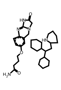 C1CCC(C(CC2CCCCN2)C2CCCCC2)CC1.NC(=O)CCCOc1ccc2c(c1)CN1CC(=O)NC1=N2